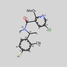 COc1ncc(Cl)cc1C(=O)N(C)C(C)c1ccc(F)cc1C#N